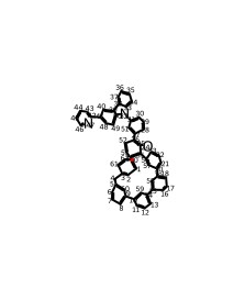 c1ccc(Cc2cccc(-c3cccc(-c4cccc(-c5ccc6oc7c(-c8cccc(-n9c%10ccccc%10c%10cc(-c%11ccccn%11)ccc%109)c8)cccc7c6c5)c4)c3)c2)cc1